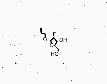 C=CCO[C@H]1O[C@H](CO)[C@@H](O)[C@H]1F